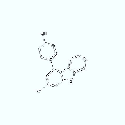 Oc1ccc(-c2cc(Cl)cc3sc4ccccc4c23)cc1